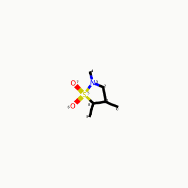 CC1CN(C)S(=O)(=O)C1C